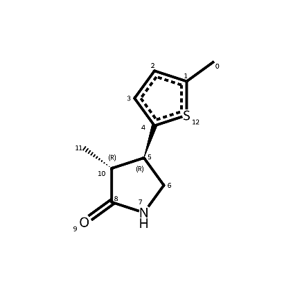 Cc1ccc([C@H]2CNC(=O)[C@@H]2C)s1